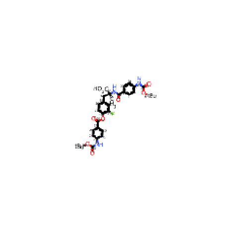 CC(C)(C)OC(=O)Nc1ccc(C(=O)NC(C)(Cc2ccc(OC(=O)c3ccc(NC(=O)OC(C)(C)C)cc3)c(F)c2)C(=O)O)cc1